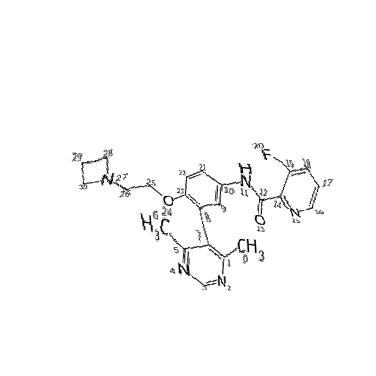 Cc1ncnc(C)c1-c1cc(NC(=O)c2ncccc2F)ccc1OCCN1CCC1